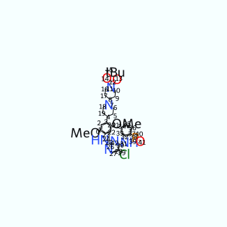 COc1cc(C2CCN(C3CCN(C(=O)OC(C)(C)C)CC3)CC2)c(OC)cc1Nc1ncc(Cl)c(Nc2ccccc2P(C)(C)=O)n1